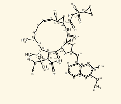 CC[C@@H]1C[C@H](C)CCC=C[C@@H]2C[C@@]2(C(=O)NS(=O)(=O)C2CC2)NC(=O)[C@@H]2C[C@@H](Oc3nccc4cc(OC)c(F)cc34)CN2C(=O)[C@H]1N(C(=O)O)C(C)(C)C(F)F